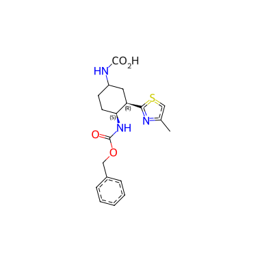 Cc1csc([C@@H]2CC(NC(=O)O)CC[C@@H]2NC(=O)OCc2ccccc2)n1